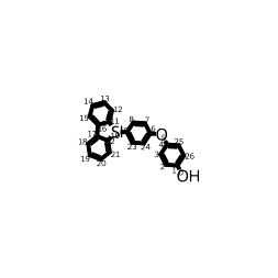 Oc1ccc(Oc2ccc([SH]3c4ccccc4-c4ccccc43)cc2)cc1